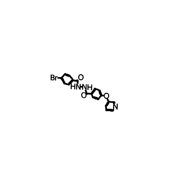 O=C(NNC(=O)c1ccc(Oc2cccnc2)cc1)c1ccc(Br)cc1